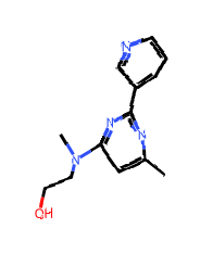 Cc1cc(N(C)CCO)nc(-c2cccnc2)n1